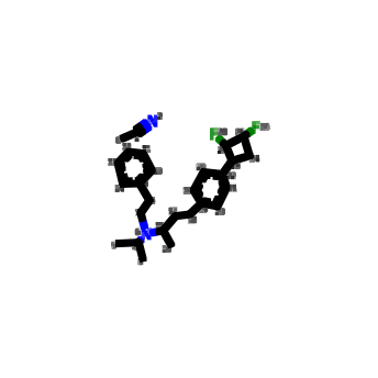 CC#N.CC(C)N(CCc1ccccc1)C(C)CCc1ccc(C2CC(F)C2F)cc1